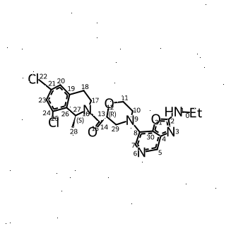 CCNc1nc2cncc(N3CCO[C@@H](C(=O)N4CCc5cc(Cl)cc(Cl)c5[C@@H]4C)C3)c2o1